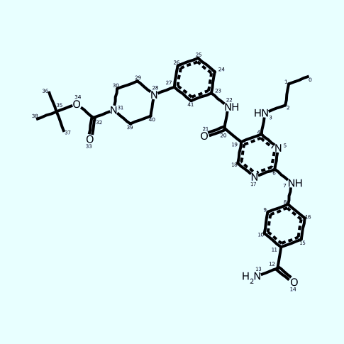 CCCNc1nc(Nc2ccc(C(N)=O)cc2)ncc1C(=O)Nc1cccc(N2CCN(C(=O)OC(C)(C)C)CC2)c1